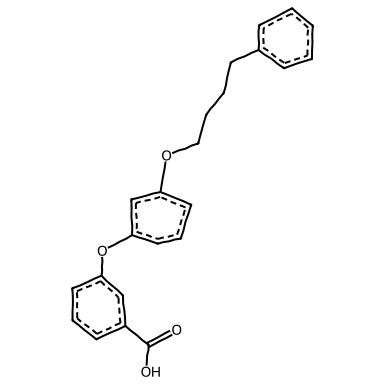 O=C(O)c1cccc(Oc2cccc(OCCCCc3ccccc3)c2)c1